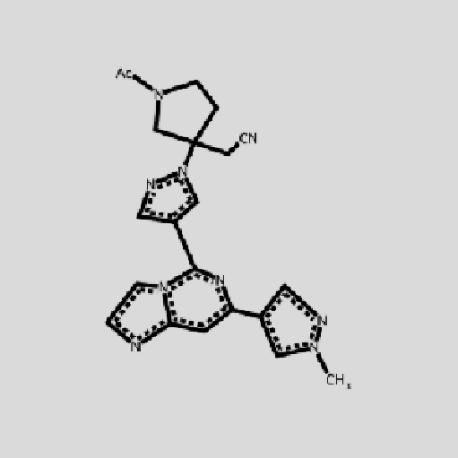 CC(=O)N1CCC(CC#N)(n2cc(-c3nc(-c4cnn(C)c4)cc4nccn34)cn2)C1